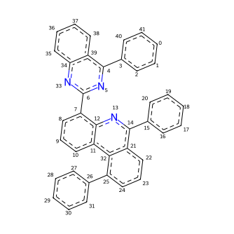 c1ccc(-c2nc(-c3cccc4c3nc(-c3ccccc3)c3cccc(-c5ccccc5)c34)nc3ccccc23)cc1